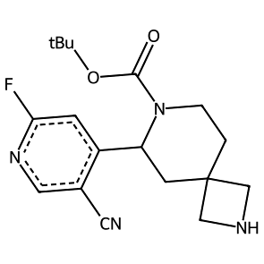 CC(C)(C)OC(=O)N1CCC2(CNC2)CC1c1cc(F)ncc1C#N